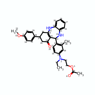 CCN(CCOC(C)=O)c1ccc(C2Nc3ccccc3NC3=C2C(=O)CC(c2ccc(OC)cc2)C3)c(C)c1